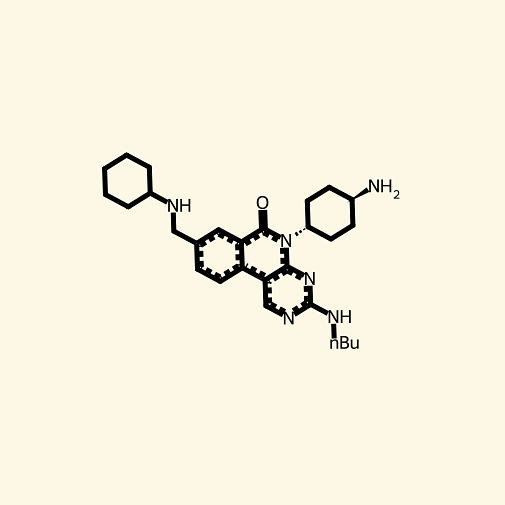 CCCCNc1ncc2c3ccc(CNC4CCCCC4)cc3c(=O)n([C@H]3CC[C@H](N)CC3)c2n1